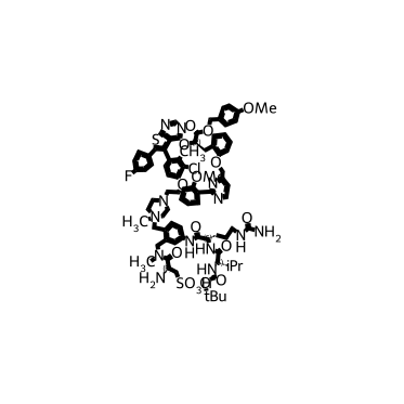 COc1ccc(COC(=O)[C@@H](Cc2ccccc2OCc2ccnc(-c3ccccc3OC)n2)Oc2ncnc3sc(-c4ccc(F)cc4)c(-c4ccc(OCCN5CC[N+](C)(Cc6ccc(NC(=O)[C@H](CCCNC(N)=O)NC(=O)[C@@H](NC(=O)OC(C)(C)C)C(C)C)cc6CN(C)C(=O)[C@@H](N)CS(=O)(=O)O)CC5)c(Cl)c4C)c23)cc1